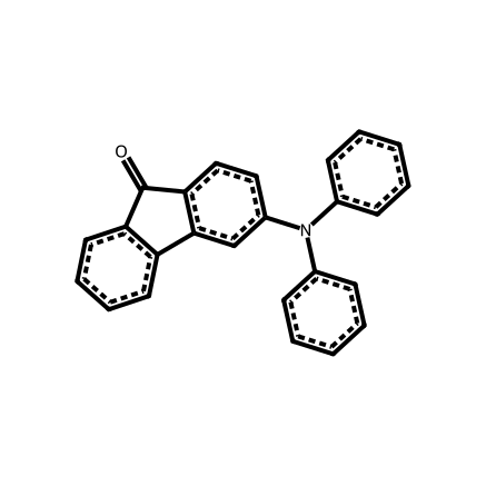 O=C1c2ccccc2-c2cc(N(c3ccccc3)c3ccccc3)ccc21